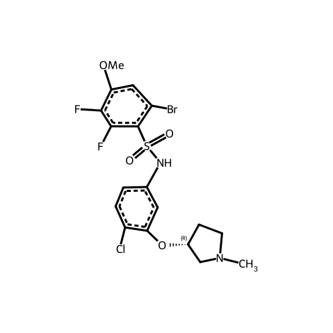 COc1cc(Br)c(S(=O)(=O)Nc2ccc(Cl)c(O[C@@H]3CCN(C)C3)c2)c(F)c1F